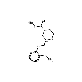 CC(C)(C)OC(O)N1CCO[C@@H](COc2cnccc2CN)C1